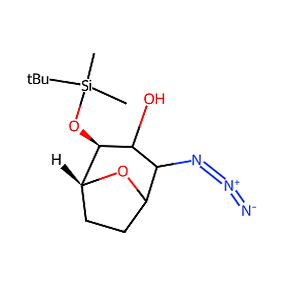 CC(C)(C)[Si](C)(C)O[C@H]1C(O)C(N=[N+]=[N-])C2CC[C@H]1O2